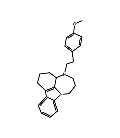 COc1ccc(CCN2CCCn3c4c(c5ccccc53)CCCC42)cc1